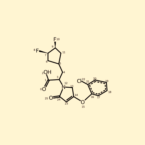 O=C(O)C(CC1C[C@@H](F)[C@@H](F)C1)N1CC(Oc2ccccc2Cl)=CC1=O